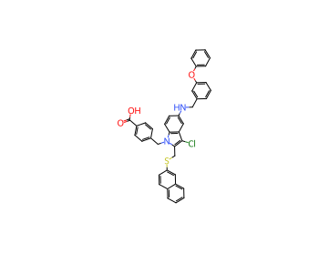 O=C(O)c1ccc(Cn2c(CSc3ccc4ccccc4c3)c(Cl)c3cc(NCc4cccc(Oc5ccccc5)c4)ccc32)cc1